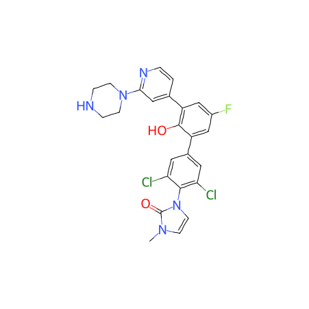 Cn1ccn(-c2c(Cl)cc(-c3cc(F)cc(-c4ccnc(N5CCNCC5)c4)c3O)cc2Cl)c1=O